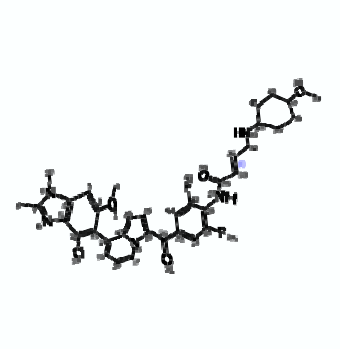 COc1cc2c(nc(C)n2C)c(Cl)c1-c1cccn2c(C(=O)c3cc(F)c(NC(=O)/C=C/CNC4CCC(OC)CC4)c(F)c3)ccc12